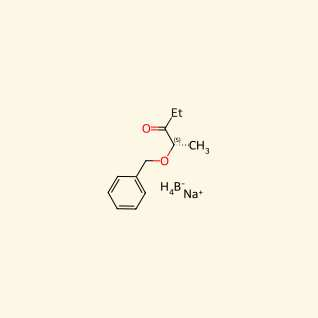 CCC(=O)[C@H](C)OCc1ccccc1.[BH4-].[Na+]